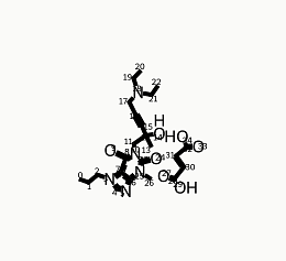 CCCn1cnc2c1c(=O)n(CC(C)(O)C#CCN(CC)CC)c(=O)n2C.O=C(O)C=CC(=O)O